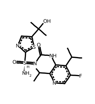 CC(C)c1ncc(F)c(C(C)C)c1NC(=O)N=[S@@](N)(=O)c1ncc(C(C)(C)O)s1